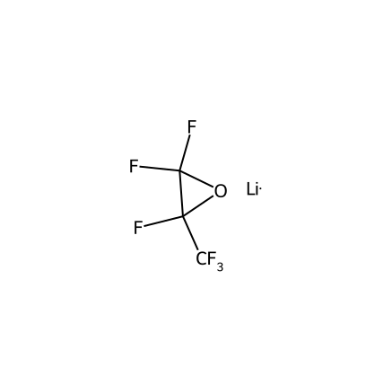 FC(F)(F)C1(F)OC1(F)F.[Li]